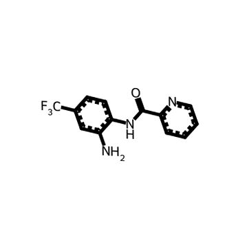 Nc1cc(C(F)(F)F)ccc1NC(=O)c1ccccn1